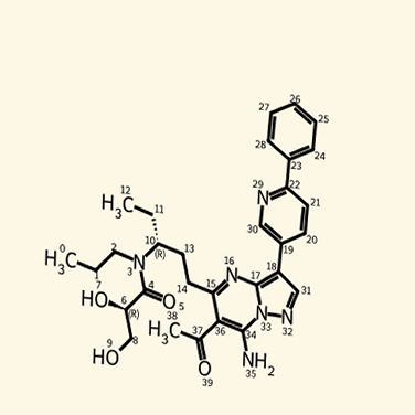 CCCN(C(=O)[C@H](O)CO)[C@H](CC)CCc1nc2c(-c3ccc(-c4ccccc4)nc3)cnn2c(N)c1C(C)=O